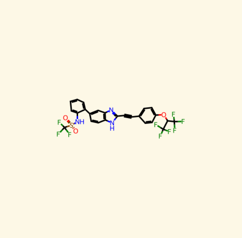 O=S(=O)(Nc1ccccc1-c1ccc2[nH]c(C#Cc3ccc(OC(C(F)(F)F)C(F)(F)F)cc3)nc2c1)C(F)(F)F